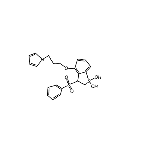 O=S(=O)(c1ccccc1)C1CS(O)(O)c2cccc(OCCCn3cccc3)c21